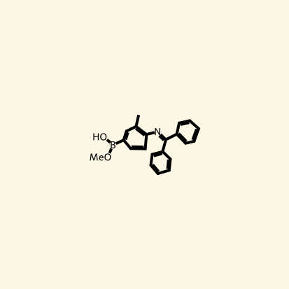 COB(O)c1ccc(N=C(c2ccccc2)c2ccccc2)c(C)c1